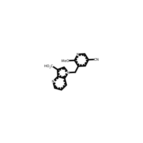 COc1ncc(C#N)cc1Cn1cc(C(=O)O)c2ncccc21